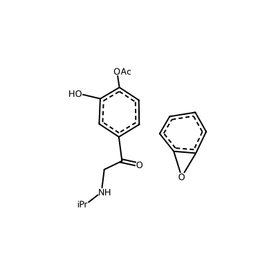 CC(=O)Oc1ccc(C(=O)CNC(C)C)cc1O.c1ccc2c(c1)O2